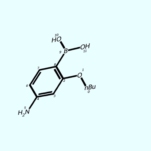 CCCCOc1cc(N)ccc1B(O)O